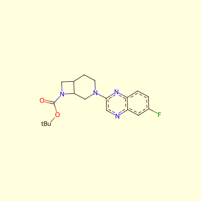 CC(C)(C)OC(=O)N1CC2CCN(c3cnc4cc(F)ccc4n3)CC21